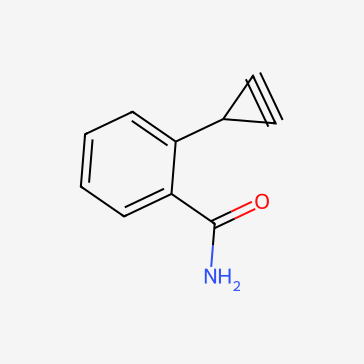 NC(=O)c1ccccc1C1C#C1